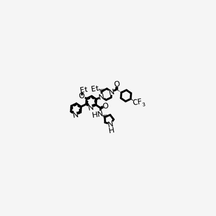 CCOc1cc(N2CCN(C(=O)[C@H]3CC[C@@H](C(F)(F)F)CC3)C[C@H]2CC)c(C(=O)N[C@@H]2CCNC2)nc1-c1cccnc1